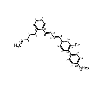 C=CCCCc1ccccc1C=NN=Cc1ccc(-c2ccc(CCCCCC)cc2)c(F)c1